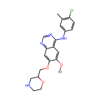 CCOc1cc2c(Nc3ccc(Cl)c(C)c3)ncnc2cc1OCC1CNCCO1